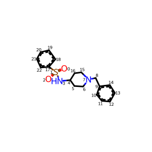 O=S(=O)(NC1CCN(Cc2ccccc2)CC1)c1ccccc1